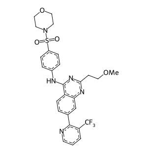 COCCc1nc(Nc2ccc(S(=O)(=O)N3CCOCC3)cc2)c2ccc(-c3ncccc3C(F)(F)F)cc2n1